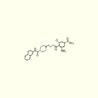 COc1cc(C(N)=O)cc(N)c1NCCCN1CCC(C(=O)Nc2ccc3ccccc3c2)CC1